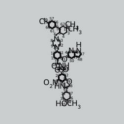 CC1(C)CCC(CN2CCN(c3ccc(C(=O)NS(=O)(=O)c4cc5c(c([N+](=O)[O-])c4)N[C@H](C4CCC(C)(O)CC4)CO5)c(Oc4cnc5[nH]ccc5c4)c3)CC2)=C(c2ccc(Cl)cc2)C1